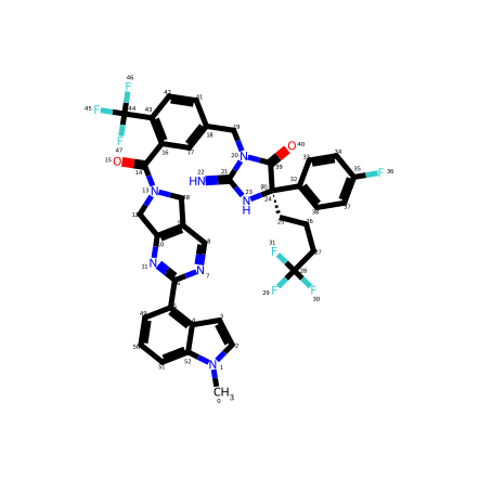 Cn1ccc2c(-c3ncc4c(n3)CN(C(=O)c3cc(CN5C(=N)N[C@](CCCC(F)(F)F)(c6ccc(F)cc6)C5=O)ccc3C(F)(F)F)C4)cccc21